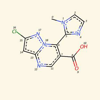 Cn1ccnc1-c1c(C(=O)O)cnc2cc(Cl)nn12